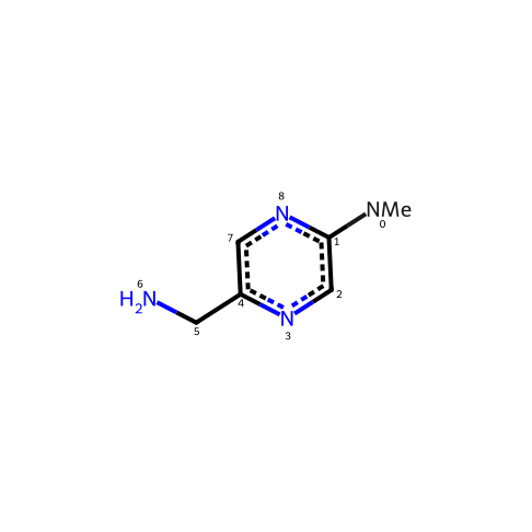 CNc1cnc(CN)cn1